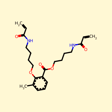 C=CC(=O)NCCCCOC(=O)c1cccc(C)c1OCCCCNC(=O)C=C